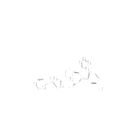 O=c1cc(-c2cc(Cl)ccc2-n2cnnn2)cc2n1[C@H](c1ncc(-c3ccncn3)[nH]1)CC2